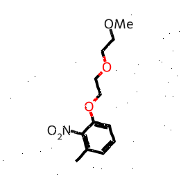 COCCOCCOc1cccc(C)c1[N+](=O)[O-]